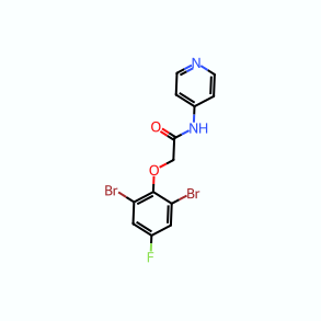 O=C(COc1c(Br)cc(F)cc1Br)Nc1ccncc1